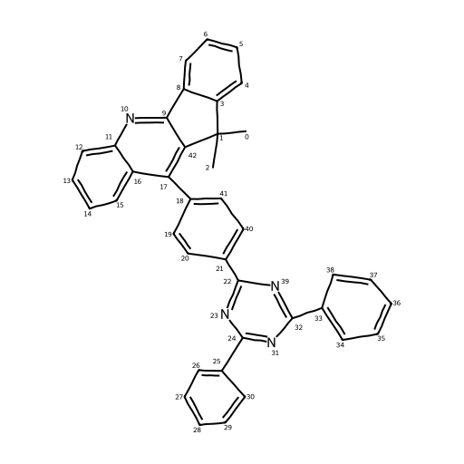 CC1(C)c2ccccc2-c2nc3ccccc3c(-c3ccc(-c4nc(-c5ccccc5)nc(-c5ccccc5)n4)cc3)c21